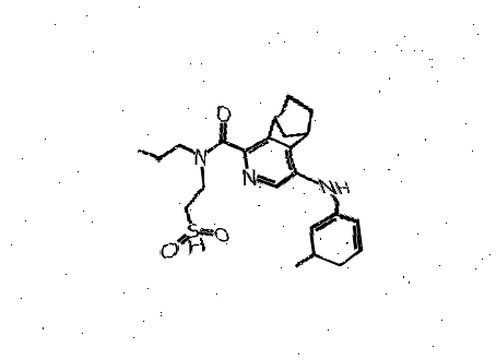 CCCN(CC[SH](=O)=O)C(=O)c1ncc(NC2=CC(C)CC=C2)c2c1C1CCC2C1